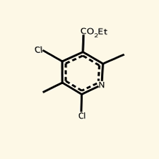 CCOC(=O)c1c(C)nc(Cl)c(C)c1Cl